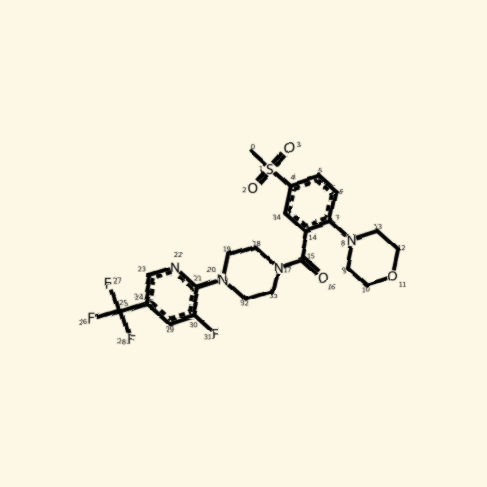 CS(=O)(=O)c1ccc(N2CCOCC2)c(C(=O)N2CCN(c3ncc(C(F)(F)F)cc3F)CC2)c1